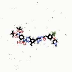 CCc1cc(-c2cc(NC(=O)Cc3ccc(OC4CCN(C)CC4)c(C(F)(F)F)c3)nn2C)cc2cnc(N(C(=O)O)C3CCC(N(C(=O)OC(C)(C)C)C(=O)OC(C)(C)C)CC3)nc12